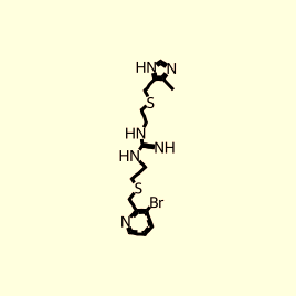 Cc1nc[nH]c1CSCCNC(=N)NCCSCc1ncccc1Br